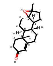 CC12CC[C@H]3[C@@H]4CCC5=CC(=O)CC[C@]5(C)[C@H]4CC[C@@]31O2